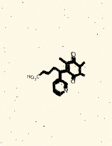 CC1=C(C)C(=O)C(C(CCCC(=O)O)c2cccnc2)=C(C)C1=O